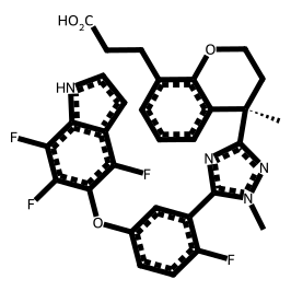 Cn1nc([C@]2(C)CCOc3c(CCC(=O)O)cccc32)nc1-c1cc(Oc2c(F)c(F)c3[nH]ccc3c2F)ccc1F